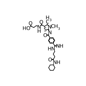 CC1C(C(=O)NCCC(=O)O)SC(=NC(=O)c2ccc(C(=N)NCCCC(=O)NC3CCCCC3)cc2)N1C